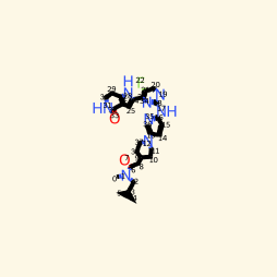 CN(CC1CC1)C(=O)CC1CCN(c2ccc(Nc3ncc(F)c(-c4cc5c([nH]4)CCNC5=O)n3)nc2)CC1